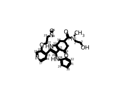 CN(CCO)C(=O)C1CC(=O)c2c([nH]c(-c3ccncc3OCCN=O)c2Nc2ccccc2)C1